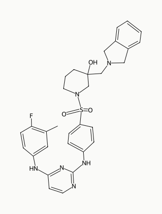 Cc1cc(Nc2ccnc(Nc3ccc(S(=O)(=O)N4CCCC(O)(CN5Cc6ccccc6C5)C4)cc3)n2)ccc1F